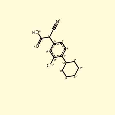 N#CC(C(=O)O)c1ccc(C2CCCCC2)c(Cl)c1